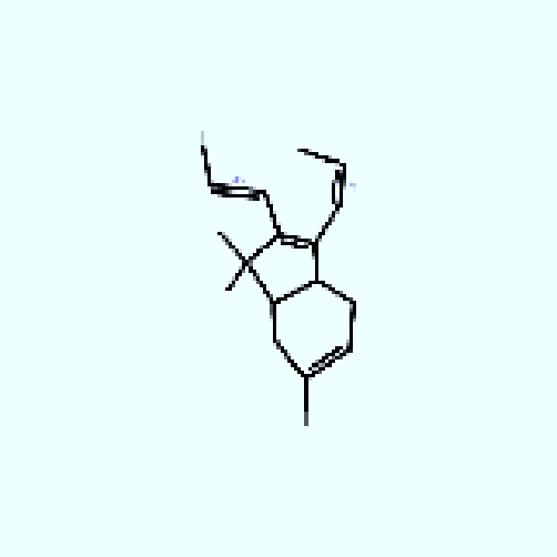 C/C=C\C1=C(/C=C/I)C(C)(C)C2CC(I)=CCC12